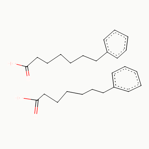 O=C(O)CCCCCCc1ccccc1.O=C(O)CCCCCCc1ccccc1